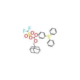 O=C(OCC12CC3CC(CC(C3)C1)C2)OS(=O)(=O)C(F)F.c1ccc([S+](c2ccccc2)c2ccccc2)cc1